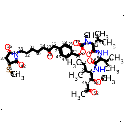 CC[C@H](C)[C@H](NC(=O)[C@@H](NC(=O)[C@H](C(C)C)N(C)C(=O)OCc1ccc(CC(=O)CCCCCN2C(=O)CC(SC)C2=O)cc1)C(C)C)[C@@H](CC(C)=O)OC